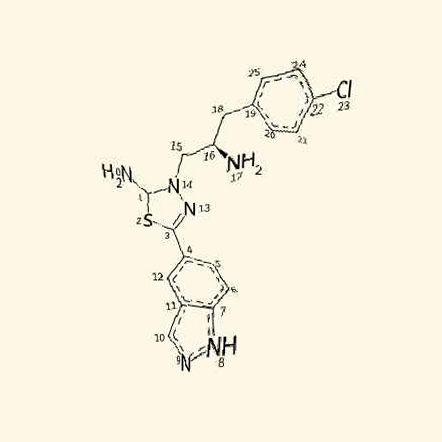 NC1SC(c2ccc3[nH]ncc3c2)=NN1C[C@H](N)Cc1ccc(Cl)cc1